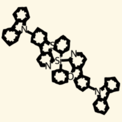 c1ccc([Si](c2ccccc2)(c2nccc3c2oc2ccc(-n4c5ccccc5c5ccccc54)cc23)c2nccc3c2sc2ccc(-n4c5ccccc5c5ccccc54)cc23)cc1